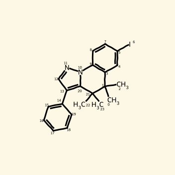 CC1(C)c2cc(I)ccc2-n2ncc(-c3ccccc3)c2C1(C)C